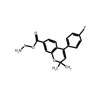 CC1(C)C=C(c2ccc(F)cc2)c2ccc(C(=O)OSN)cc2O1